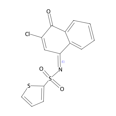 O=C1C(Cl)=C/C(=N\S(=O)(=O)c2cccs2)c2ccccc21